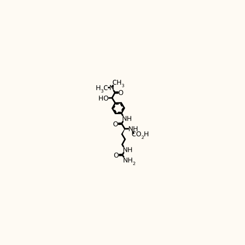 CN(C)C(=O)C(O)c1ccc(NC(=O)[C@H](CCCNC(N)=O)NC(=O)O)cc1